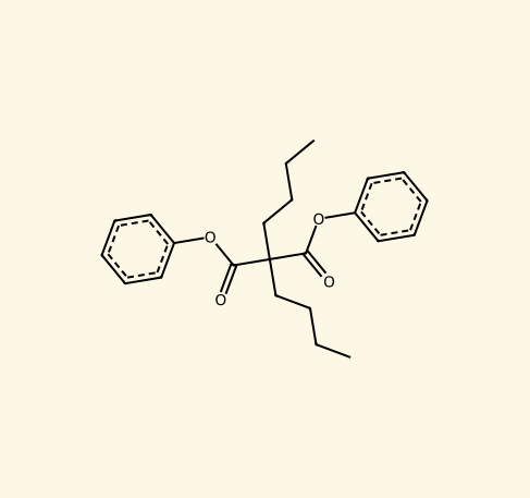 CCCCC(CCCC)(C(=O)Oc1ccccc1)C(=O)Oc1ccccc1